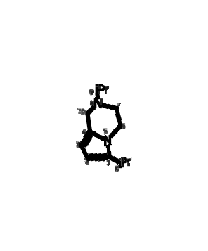 CC(C)c1ccc2n1CCN(C(C)C)C2